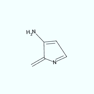 C=C1N=CC=C1N